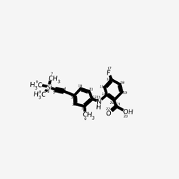 Cc1cc(C#C[Si](C)(C)C)ccc1Nc1cc(F)ccc1C(=O)O